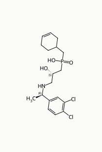 C[C@@H](NC[C@H](O)CP(=O)(O)CC1CC=CCC1)c1ccc(Cl)c(Cl)c1